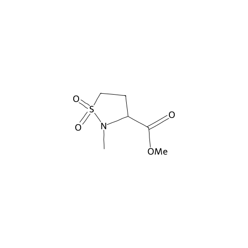 COC(=O)C1CCS(=O)(=O)N1C